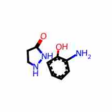 Nc1ccccc1O.O=C1CCNN1